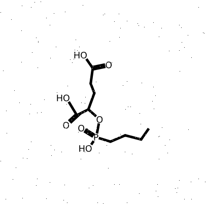 CCCCP(=O)(O)OC(CCC(=O)O)C(=O)O